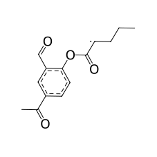 CCC[CH]C(=O)Oc1ccc(C(C)=O)cc1C=O